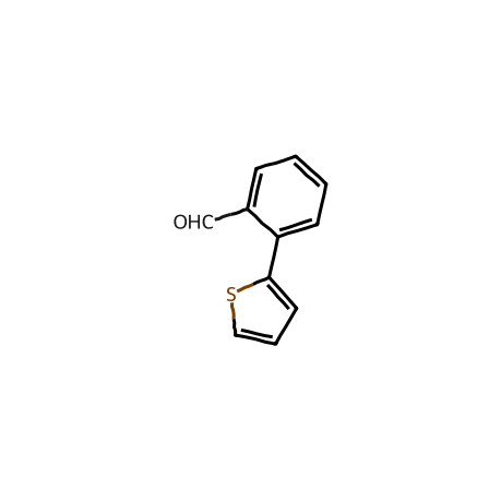 O=Cc1ccccc1-c1cccs1